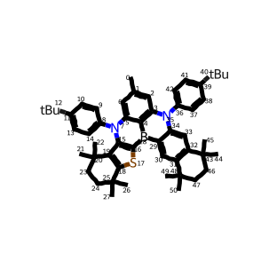 Cc1cc2c3c(c1)N(c1ccc(C(C)(C)C)cc1)c1c(sc4c1C(C)(C)CCC4(C)C)B3c1cc3c(cc1N2c1ccc(C(C)(C)C)cc1)C(C)(C)CCC3(C)C